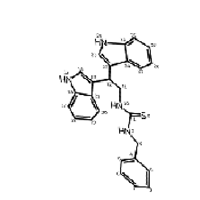 S=C(NCc1ccccc1)NCC(c1c[nH]c2ccccc12)c1c[nH]c2ccccc12